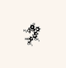 CN=C[C@@H]1CN(c2nc3cc([C@@H]4CCCCN4C(=O)c4cc(Cl)ccc4NS(C)(=O)=O)nn3cc2C)C[C@H]1O